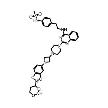 CS(=O)(=O)Nc1ccc(CCNc2nc(N3CCN(C4CN(c5ccc6c(c5)ON(C5CCONO5)O6)C4)CC3)nc3ccccc23)cc1